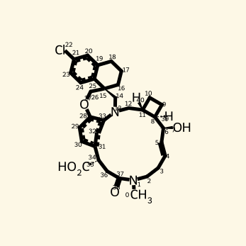 CN1CC/C=C/[C@H](O)[C@@H]2CC[C@H]2CN2C[C@@]3(CCCc4cc(Cl)ccc43)COc3ccc(cc32)[C@@H](C(=O)O)CC1=O